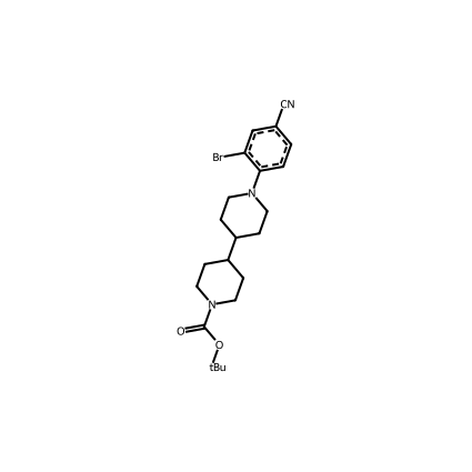 CC(C)(C)OC(=O)N1CCC(C2CCN(c3ccc(C#N)cc3Br)CC2)CC1